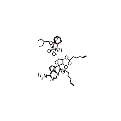 C=CCCCC(=O)O[C@H]1[C@@H](OC(=O)CCCC=C)[C@](C#N)(c2ccc3c(N)ncnn23)O[C@@H]1CO[P@@](=O)(N[C@@H](C)C(=O)OCC(CC)CC)Oc1ccccc1